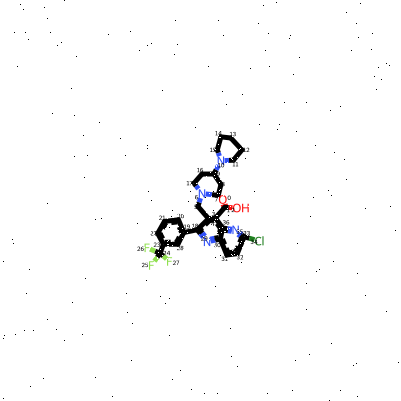 O=C(O)c1c(CN2CCC(N3CCCCC3)CC2)c(-c2cccc(C(F)(F)F)c2)nc2ccc(Cl)nc12